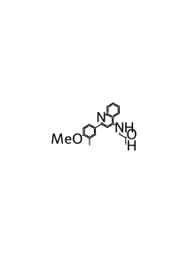 COc1ccc(-c2cc(NCC(C)O)c3ccccc3n2)cc1C